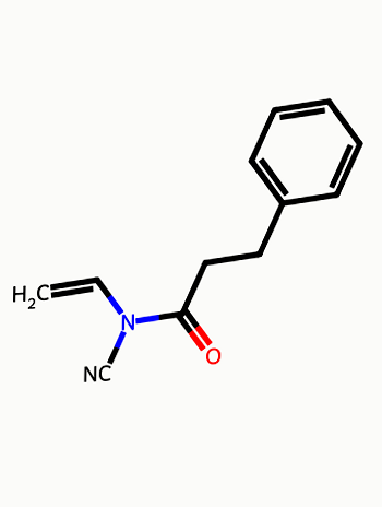 C=CN(C#N)C(=O)CCc1ccccc1